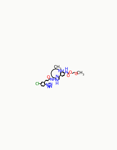 COCCOC(=O)Nc1ccc2c(c1)NC[C@H](C)CCCC[C@H](NC(=O)/C=C/c1cc(Cl)ccc1-n1cnnn1)c1nc-2c[nH]1